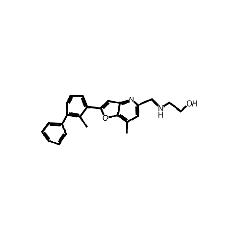 Cc1c(-c2ccccc2)cccc1-c1cc2nc(CNCCO)cc(C)c2o1